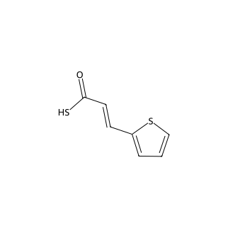 O=C(S)/C=C/c1cccs1